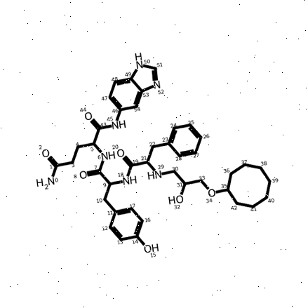 NC(=O)CCC(NC(=O)C(Cc1ccc(O)cc1)NC(=O)C(Cc1ccccc1)NCC(O)COC1CCCCCCC1)C(=O)Nc1ccc2[nH]cnc2c1